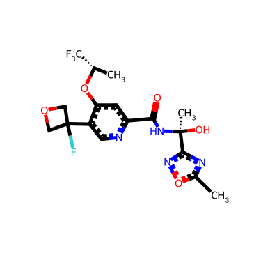 Cc1nc([C@](C)(O)NC(=O)c2cc(O[C@@H](C)C(F)(F)F)c(C3(F)COC3)cn2)no1